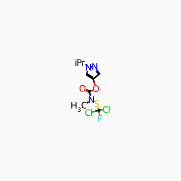 CC(C)n1cc(OC(=O)N(C)SC(F)(Cl)Cl)cn1